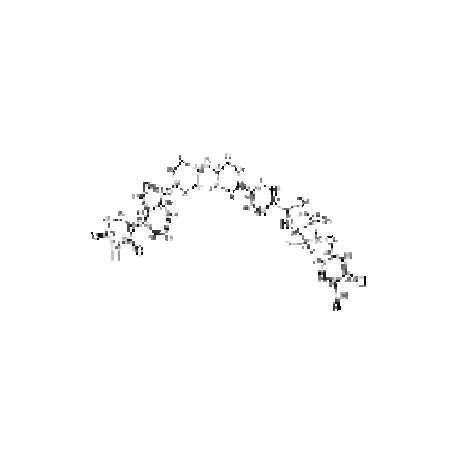 CC1(C)C(NC(=O)c2ncc(N3CCC(CN4CCC(n5ncc6c(N7CCC(=O)NC7=O)cccc65)CC4)CC3)cn2)C(C)(C)C1Oc1cnc(C#N)c(Cl)c1